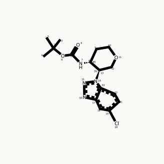 CC(C)(C)OC(=O)N[C@@H]1CCOC[C@H]1n1nnc2cc(Cl)ccc21